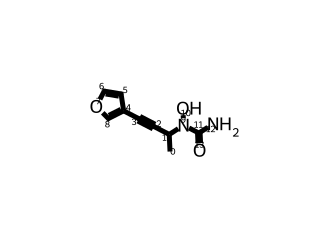 CC(C#Cc1ccoc1)N(O)C(N)=O